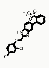 CS(=O)(=O)c1ccccc1-c1ccc2[nH]c(COc3ccc(Cl)cc3Cl)nc2c1